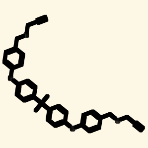 C#CCOCc1ccc(Oc2ccc(C(C)(C)c3ccc(Oc4ccc(COCC#C)cc4)cc3)cc2)cc1